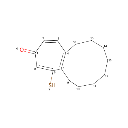 O=c1ccc2c(c(S)c1)CCCCCCCC2